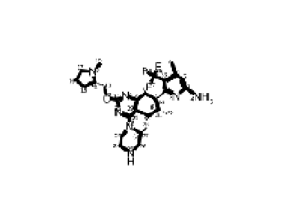 Cc1cc(N)nc([C@@H]2Cc3nc(OC[C@@H]4CCCN4C)nc(N4CCNC[C@@H]4C)c3C[C@H]2C)c1C(F)(F)F